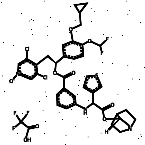 O=C(O)C(F)(F)F.O=C(O[C@@H](Cc1c(Cl)c[n+]([O-])cc1Cl)c1ccc(OC(F)F)c(OCC2CC2)c1)c1cccc(NC(C(=O)O[C@H]2CN3CCC2CC3)c2ccsc2)c1